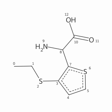 CCSc1ccsc1C(N)C(=O)O